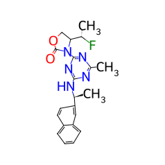 Cc1nc(N[C@@H](C)c2ccc3ccccc3c2)nc(N2C(=O)OCC2[C@H](C)F)n1